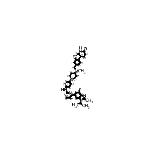 Cc1nc2c(F)cc(-c3nc(Nc4ccc(N5CCC(N(C)Cc6ccc(C7CCC(=O)NC7=O)c(F)c6)CC5)cn4)ncc3F)cc2n1C(C)C